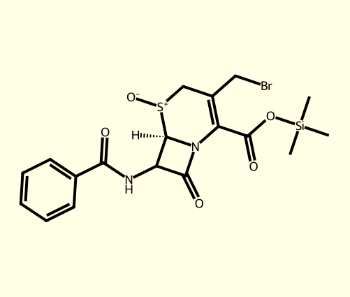 C[Si](C)(C)OC(=O)C1=C(CBr)C[S+]([O-])[C@@H]2C(NC(=O)c3ccccc3)C(=O)N12